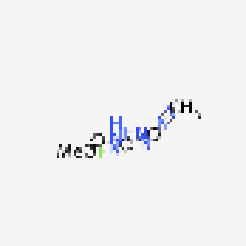 COc1cccc(-c2nc3ccc(-c4nc5ccc(N6CCN(C)CC6)cc5[nH]4)cc3[nH]2)c1F